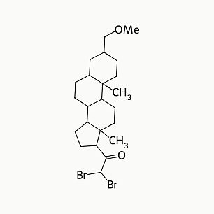 COCC1CCC2(C)C(CCC3C2CCC2(C)C(C(=O)C(Br)Br)CCC32)C1